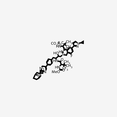 COC(=O)NC(C(=O)NC(Cc1ccc(-c2cnc(N3CC4CCC(C3)N4C3COC3)nc2)cc1)C(O)CN(Cc1c(F)cc(-c2ccn(C3CC3)n2)cc1F)NC(=O)C(NC(=O)O)C(C)(C)C(F)(F)F)C(C)(C)C(F)(F)F